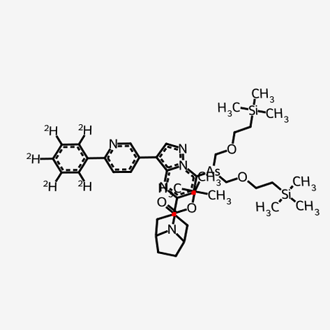 [2H]c1c([2H])c([2H])c(-c2ccc(-c3cnn4c([As](COCC[Si](C)(C)C)COCC[Si](C)(C)C)cc(C5CC6CCC(C5)N6C(=O)OC(C)(C)C)nc34)cn2)c([2H])c1[2H]